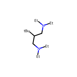 CCN(CC)CC(CN(CC)CC)C(C)(C)C